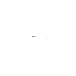 O=C(O)C1C(=O)N2C=C(Cl)CS[C@@H]12